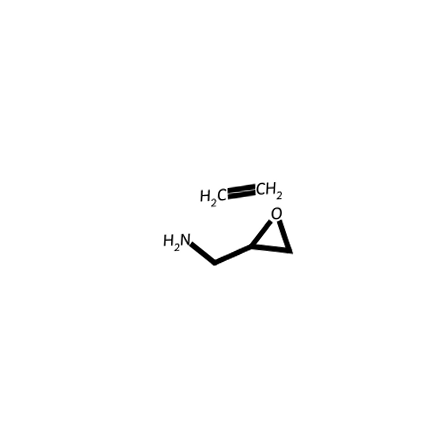 C=C.NCC1CO1